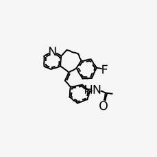 CC(=O)Nc1cccc(/C=C2\c3ccc(F)cc3CCc3ncccc32)c1